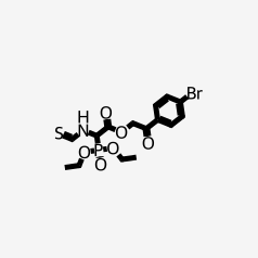 CCOP(=O)(OCC)C(NC=S)C(=O)OCC(=O)c1ccc(Br)cc1